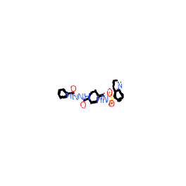 O=C(NNC(=O)C1CCC(CNS(=O)(=O)c2cccc3ncccc23)CC1)c1ccccc1